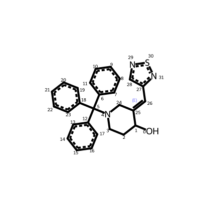 OC1CCN(C(c2ccccc2)(c2ccccc2)c2ccccc2)C/C1=C\c1cnsn1